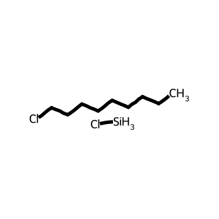 CCCCCCCCCCl.[SiH3]Cl